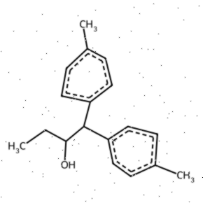 CCC(O)C(c1ccc(C)cc1)c1ccc(C)cc1